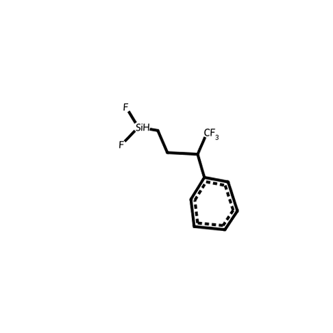 F[SiH](F)CCC(c1ccccc1)C(F)(F)F